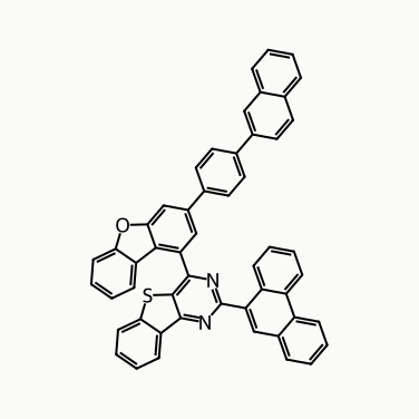 c1ccc2cc(-c3ccc(-c4cc(-c5nc(-c6cc7ccccc7c7ccccc67)nc6c5sc5ccccc56)c5c(c4)oc4ccccc45)cc3)ccc2c1